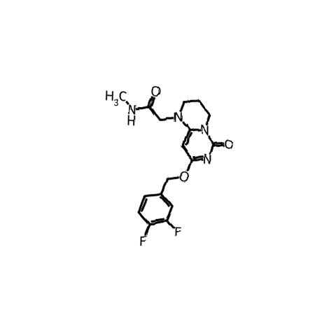 CNC(=O)CN1CCCn2c1cc(OCc1ccc(F)c(F)c1)nc2=O